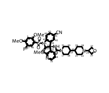 COc1cc(OC)c(S(=O)(=O)N2C(=O)[C@@](NC(=O)N3CCC(C4CCN(C5COC5)CC4)CC3)(c3cccnc3OC)c3cc(C#N)ccc32)cc1F